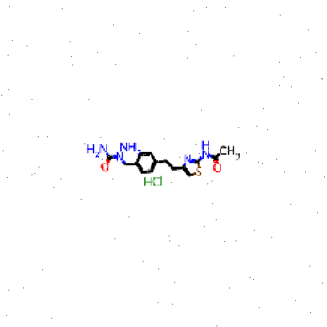 CC(=O)Nc1nc(CCc2ccc(CN(N)C(N)=O)cc2)cs1.Cl